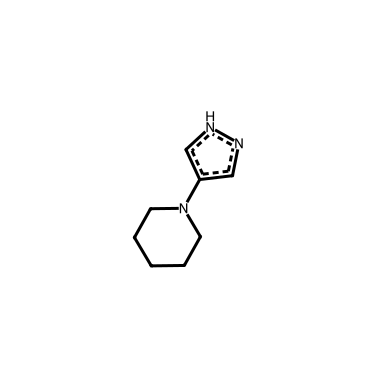 c1n[nH]cc1N1CCCCC1